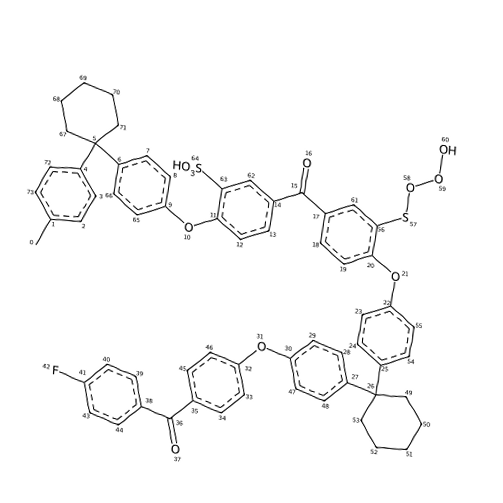 Cc1ccc(C2(c3ccc(Oc4ccc(C(=O)c5ccc(Oc6ccc(C7(c8ccc(Oc9ccc(C(=O)c%10ccc(F)cc%10)cc9)cc8)CCCCC7)cc6)c(SOOO)c5)cc4S(=O)(=O)O)cc3)CCCCC2)cc1